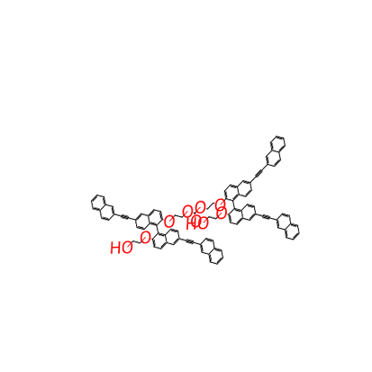 O=C(OCCOc1ccc2cc(C#Cc3ccc4ccccc4c3)ccc2c1-c1c(OCCO)ccc2cc(C#Cc3ccc4ccccc4c3)ccc12)OCCOc1ccc2cc(C#Cc3ccc4ccccc4c3)ccc2c1-c1c(OCCO)ccc2cc(C#Cc3ccc4ccccc4c3)ccc12